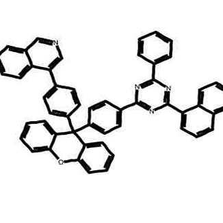 c1ccc(-c2nc(-c3ccc(C4(c5ccc(-c6cncc7ccccc67)cc5)c5ccccc5Oc5ccccc54)cc3)nc(-c3cccc4ccccc34)n2)cc1